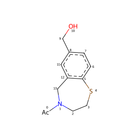 CC(=O)N1CCSc2ccc(CO)cc2C1